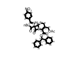 CCCCC(=O)[C@]1(N=Cc2ccc([N+](=O)[O-])cc2)C(=O)N2C(C(=O)OC(c3ccccc3)c3ccccc3)=C(COC(C)=O)CS[C@@H]21